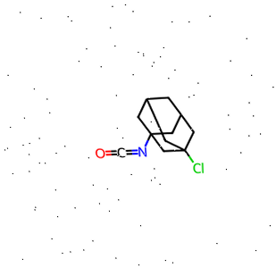 O=C=NC12CC3CC(CC(Cl)(C3)C1)C2